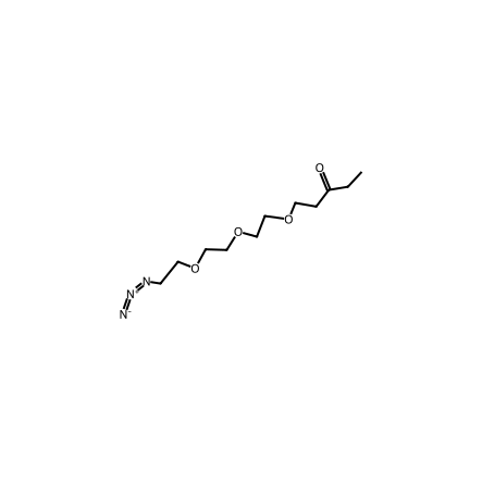 CCC(=O)CCOCCOCCOCCN=[N+]=[N-]